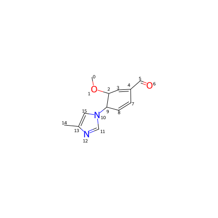 COC1C=C(C=O)C=CC1n1cnc(C)c1